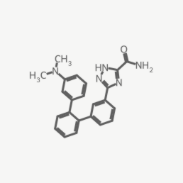 CN(C)c1cccc(-c2ccccc2-c2cccc(-c3n[nH]c(C(N)=O)n3)c2)c1